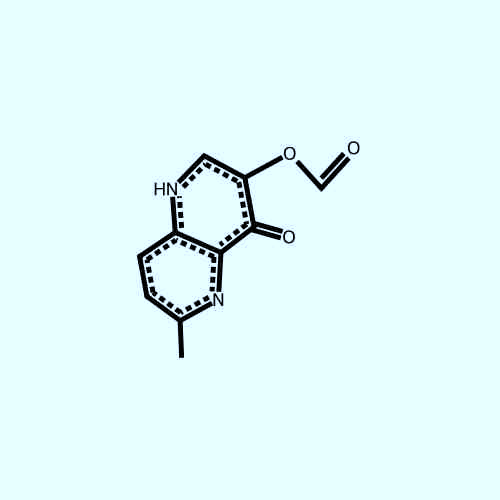 Cc1ccc2[nH]cc(OC=O)c(=O)c2n1